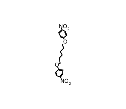 O=[N+]([O-])c1ccc(OCCCCCCOc2ccc([N+](=O)[O-])cc2)cc1